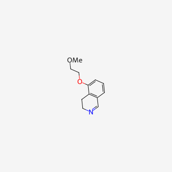 COCCOc1cccc2c1CCN=C2